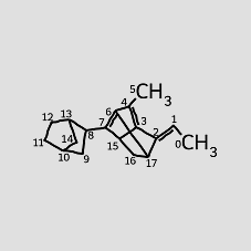 CC=C1C2=C(C)C3=C(C4CC5CCC4C5)C2CC13